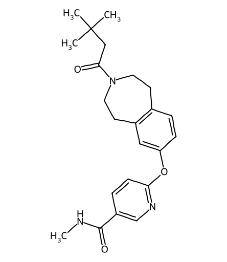 CNC(=O)c1ccc(Oc2ccc3c(c2)CCN(C(=O)CC(C)(C)C)CC3)nc1